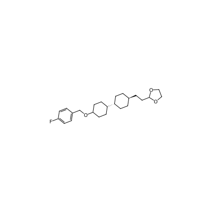 Fc1ccc(COC2CCC([C@H]3CC[C@H](CCC4OCCO4)CC3)CC2)cc1